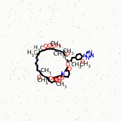 COC1CC(CC(C)[C@@H]2CC(=O)[C@H](C)/C=C(\C)[C@@H](O)C(OC)C(=O)C(C)C[C@H](C)/C=C/C=C/C=C(\C)[C@@H](OC)C[C@@H]3CCC(C)C(O)(O3)C(=O)C(=O)N3CCCCC3C(=O)O2)CCC1n1cnnn1